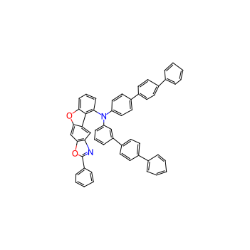 c1ccc(-c2ccc(-c3ccc(N(c4cccc(-c5ccc(-c6ccccc6)cc5)c4)c4cccc5oc6cc7oc(-c8ccccc8)nc7cc6c45)cc3)cc2)cc1